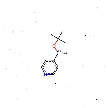 C[C@@H](OC(C)(C)C)c1ccncc1